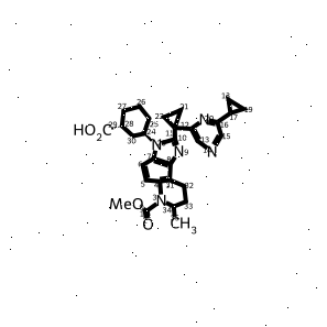 COC(=O)N1c2ccc3c(nc(C4(c5cncc(C6CC6)n5)CC4)n3[C@@H]3CCC[C@@H](C(=O)O)C3)c2CCC1C